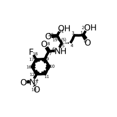 O=C(O)CC[C@H](NC(=O)c1ccc([N+](=O)[O-])cc1F)C(=O)O